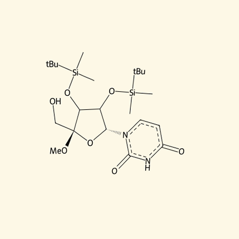 CO[C@]1(CO)O[C@@H](n2ccc(=O)[nH]c2=O)C(O[Si](C)(C)C(C)(C)C)C1O[Si](C)(C)C(C)(C)C